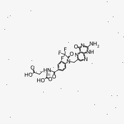 Nc1nc(=O)c2nc(CN(C(=O)C(F)(F)F)c3ccc(C(=O)N[C@@H](CCC(=O)O)C(=O)O)cc3)cnc2[nH]1